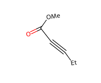 CCC#CC(=O)OC